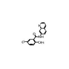 O=C(Nc1ccc2cccnc2c1)c1cc(Cl)ccc1O